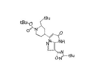 CC(C)(C)CC1CC(c2cc(=O)[nH]c3c(-c4nc(C(C)(C)C)no4)cnn23)CCN1C(=O)OC(C)(C)C